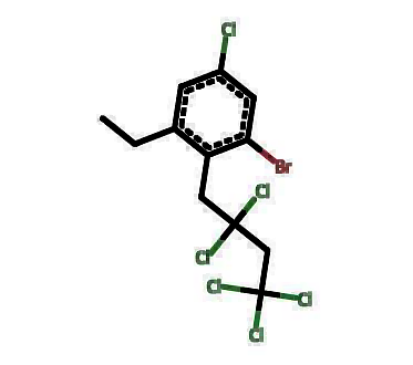 CCc1cc(Cl)cc(Br)c1CC(Cl)(Cl)CC(Cl)(Cl)Cl